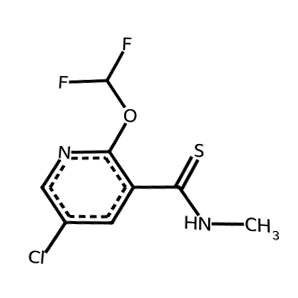 CNC(=S)c1cc(Cl)cnc1OC(F)F